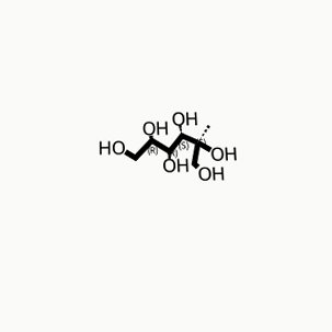 C[C@](O)(CO)[C@@H](O)[C@H](O)[C@H](O)CO